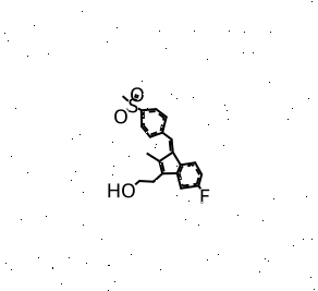 CC1=C(CCO)c2cc(F)ccc2C1=Cc1ccc(S(C)(=O)=O)cc1